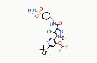 CCn1nc(C(=O)NC[C@H]2CC[C@H](S(N)(=O)=O)CC2)c(Cl)c1-c1cnc(CC(C)(C)C(F)(F)F)cc1OC(F)F